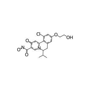 CC(C)C1Cc2cc(OCCO)cc(Cl)c2-c2cc(=O)c(C(=O)N=O)cn21